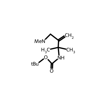 C=C(CNC)C(C)(C)NC(=O)OC(C)(C)C